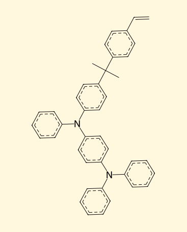 C=Cc1ccc(C(C)(C)c2ccc(N(c3ccccc3)c3ccc(N(c4ccccc4)c4ccccc4)cc3)cc2)cc1